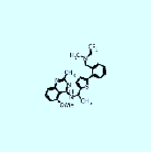 COc1cccc2nc(C)nc(NC(C)c3ccc(-c4ccccc4CN(C)CC(F)(F)F)s3)c12